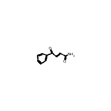 NC(=O)C=CC(=O)c1ccccc1